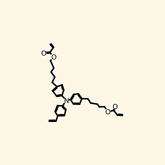 C=CC(=O)OCCCCCc1ccc(N(c2ccc(C=C)cc2)c2ccc(CCCCCOC(=O)C=C)cc2)cc1